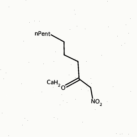 CCCCCCCCC(=O)C[N+](=O)[O-].[CaH2]